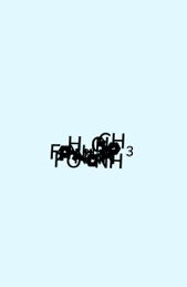 CN(C)c1cc(N[C@H]2CC[C@@H](CNC(=O)Nc3ccc(F)c(F)c3)CC2)nc2ccccc12